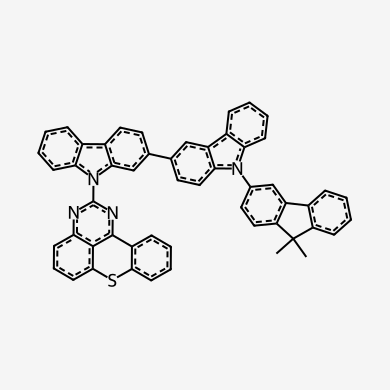 CC1(C)c2ccccc2-c2cc(-n3c4ccccc4c4cc(-c5ccc6c7ccccc7n(-c7nc8c9c(cccc9n7)Sc7ccccc7-8)c6c5)ccc43)ccc21